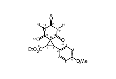 CCOC(=O)C1C(c2ccc(OC)cc2)C12C(=O)N(C)C(=O)N(C)C2=O